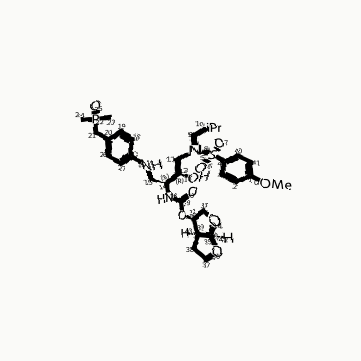 COc1ccc(S(=O)(=O)N(CC(C)C)C[C@@H](O)[C@H](CNc2ccc(CP(C)(C)=O)cc2)NC(=O)O[C@H]2CO[C@H]3OCC[C@H]32)cc1